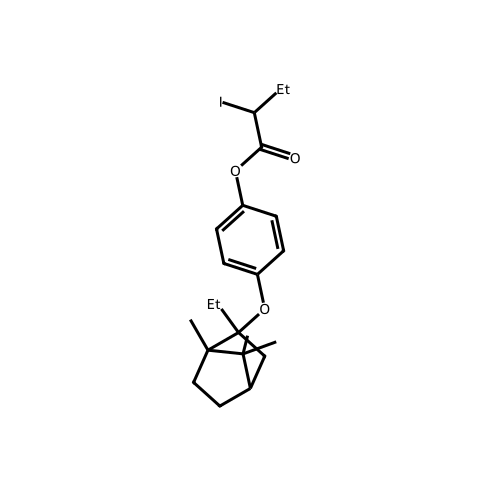 CCC(I)C(=O)Oc1ccc(OC2(CC)CC3CCC2(C)C3(C)C)cc1